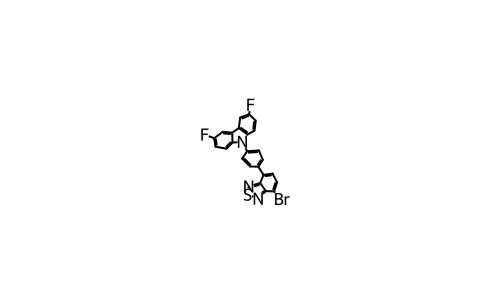 Fc1ccc2c(c1)c1cc(F)ccc1n2-c1ccc(-c2ccc(Br)c3nsnc23)cc1